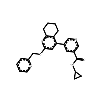 O=C(NC1CC1)c1cncc(-c2cc(OCc3ccccn3)nc3c2CCCC3)c1